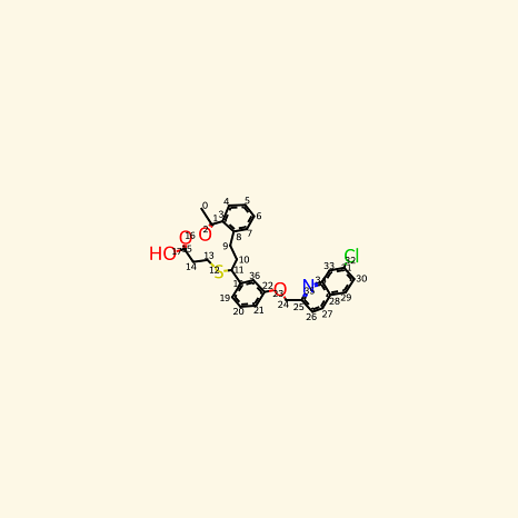 CC(=O)c1ccccc1CCC(SCCC(=O)O)c1cccc(OCc2ccc3ccc(Cl)cc3n2)c1